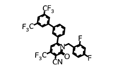 N#Cc1c(C(F)(F)F)cc(-c2cccc(-c3cc(C(F)(F)F)cc(C(F)(F)F)c3)c2)n(Cc2ccc(F)cc2F)c1=O